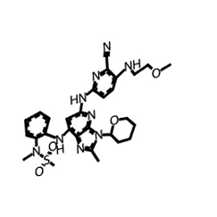 COCCNc1ccc(Nc2cc(Nc3ccccc3N(C)S(C)(=O)=O)c3nc(C)n(C4CCCCO4)c3n2)nc1C#N